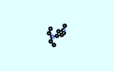 C1=CC(c2cccc(-c3cc(-c4cccc(-c5ccccc5)c4)nc(-c4ccc(-c5ccc6c(c5)C5C(c7ccccc7)=CC(c7ccccc7)=NC5C=C6)cc4)n3)c2)=CCC1